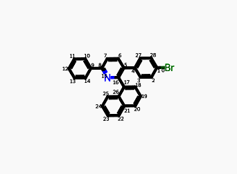 Brc1ccc(-c2ccc(-c3ccccc3)nc2-c2cccc3ccccc23)cc1